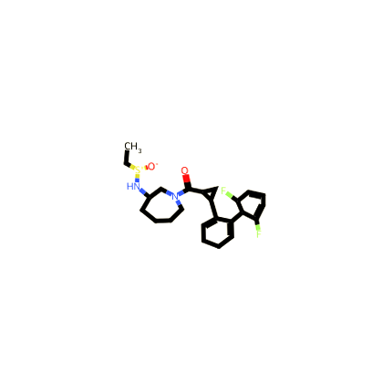 CC[S+]([O-])NC1CCCCN(C(=O)C2CC2C2=CCCC=C2C2C(F)=CC=CC2F)C1